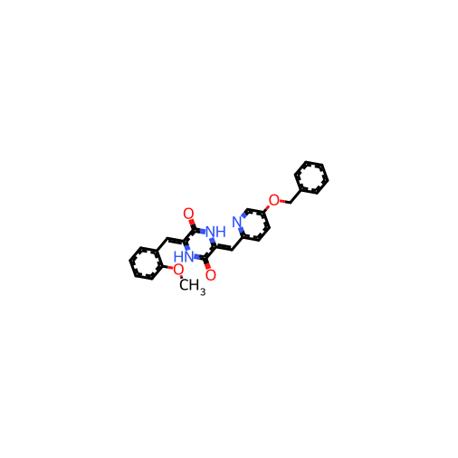 COc1ccccc1C=c1[nH]c(=O)c(=Cc2ccc(OCc3ccccc3)cn2)[nH]c1=O